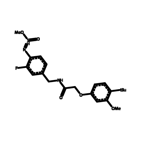 COc1cc(OCC(=O)NCc2ccc(N=[SH](=O)OC)c(F)c2)ccc1C(C)(C)C